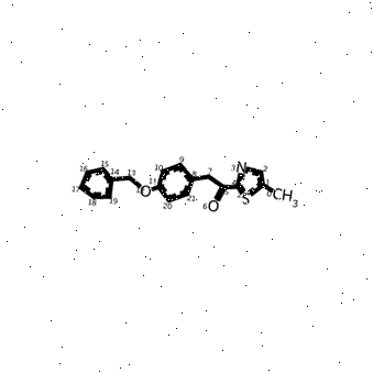 Cc1cnc(C(=O)Cc2ccc(OCc3ccccc3)cc2)s1